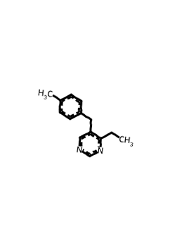 CCc1ncncc1Cc1ccc(C)cc1